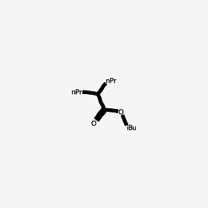 CCCC(CCC)C(=O)OC(C)CC